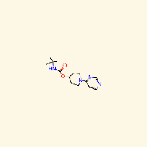 CC(C)(C)NC(=O)OC1CCN(c2ccncn2)CC1